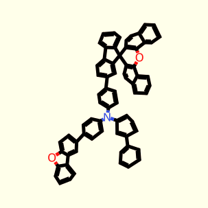 c1ccc(-c2cccc(N(c3ccc(-c4ccc5c(c4)C4(c6ccccc6-5)c5ccc6ccccc6c5Oc5c4ccc4ccccc54)cc3)c3ccc(-c4ccc5oc6ccccc6c5c4)cc3)c2)cc1